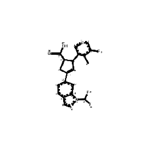 Cc1c(F)cccc1C1C=C(c2ccc3cnn(C(F)F)c3c2)CC1C(=O)O